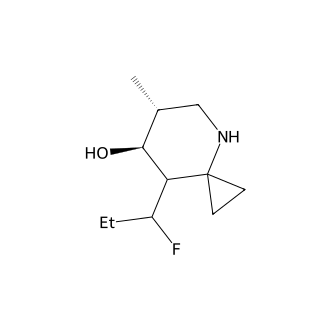 CCC(F)C1[C@@H](O)[C@H](C)CNC12CC2